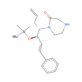 C=CC[C@@H]([C@@H](/C=C/c1ccccc1)O[Si](C)(C)C(C)(C)C)N1CCNCC1=O